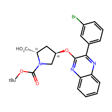 CC(C)(C)OC(=O)N1C[C@H](Oc2nc3ccccc3nc2-c2cccc(Br)c2)C[C@H]1C(=O)O